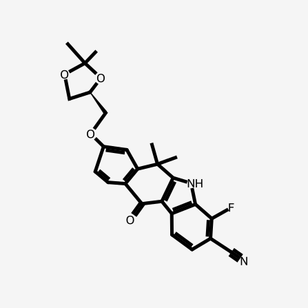 CC1(C)OC[C@H](COc2ccc3c(c2)C(C)(C)c2[nH]c4c(F)c(C#N)ccc4c2C3=O)O1